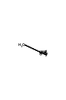 CCCCCCCCCCCCCCCCCCCOC(=O)[C@@H](N)Cc1cc(F)cc(F)c1